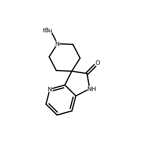 CC(C)(C)N1CCC2(CC1)C(=O)Nc1cccnc12